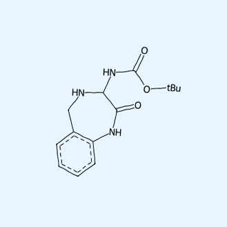 CC(C)(C)OC(=O)NC1NCc2ccccc2NC1=O